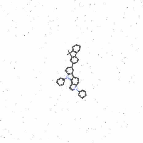 CC1(C)c2ccccc2-c2ccc(-c3ccc4c(c3)c3ccc5c(ccn5-c5ccccc5)c3n4-c3ccccc3)cc21